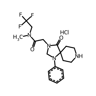 CN(CC(F)(F)F)C(=O)CN1CN(c2ccccc2)C2(CCNCC2)C1=O.Cl